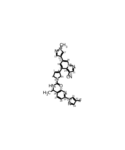 CC(NC(=O)N1CC=C(c2cc(-c3cnn(C)c3)cn3ncc(C#N)c23)C1)c1ccc(-n2cc(F)cn2)nc1